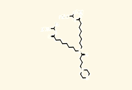 CCCCCCCCCC(CCCCCCCC)OC(=O)CCCCCCCN(CCCCCCCC(=O)OC(CC)CCCCCCCC)C(=O)CCCN1CCSCC1